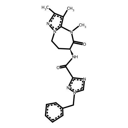 Cc1nn2c(c1C)N(C)C(=O)[C@@H](NC(=O)c1ncn(Cc3ccccc3)n1)CC2